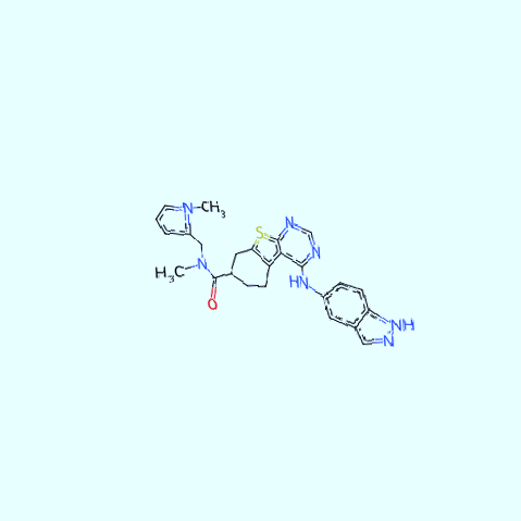 CN(Cc1cccn1C)C(=O)C1CCc2c(sc3ncnc(Nc4ccc5[nH]ncc5c4)c23)C1